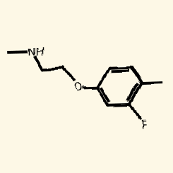 CNCCOc1ccc(C)c(F)c1